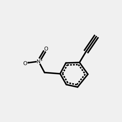 C#Cc1cccc(C[N+](=O)[O-])c1